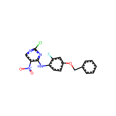 O=[N+]([O-])c1cnc(Cl)nc1Nc1ccc(OCc2ccccc2)cc1F